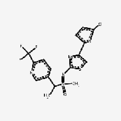 CC(c1ccc(C(F)(F)F)nc1)S(C)(=O)=Nc1nc(-c2ccc(Cl)s2)cs1